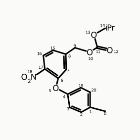 Cc1ccc(Oc2cc(COC(=O)OC(C)C)ccc2[N+](=O)[O-])cc1